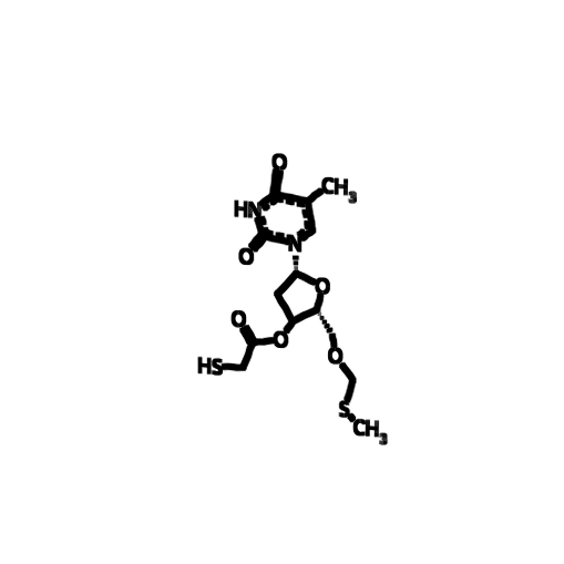 CSCOC[C@H]1O[C@@H](n2cc(C)c(=O)[nH]c2=O)CC1OC(=O)CS